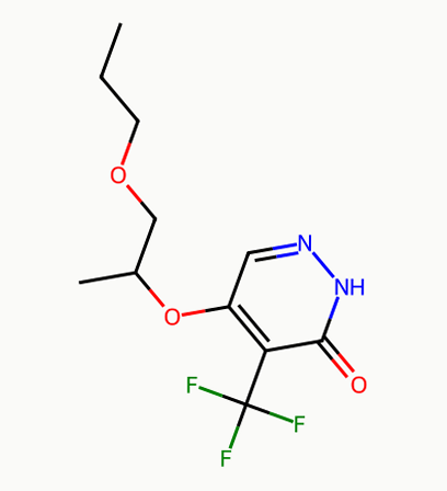 CCCOCC(C)Oc1cn[nH]c(=O)c1C(F)(F)F